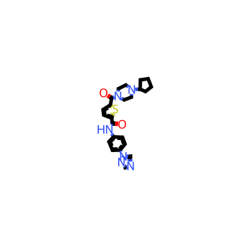 O=C(Nc1ccc(-n2cncn2)cc1)c1ccc(C(=O)N2CCN(C3CCCC3)CC2)s1